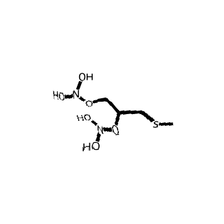 CSCC(CON(O)O)ON(O)O